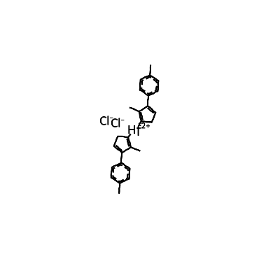 CC1=[C]([Hf+2][C]2=C(C)C(c3ccc(C)cc3)=CC2)CC=C1c1ccc(C)cc1.[Cl-].[Cl-]